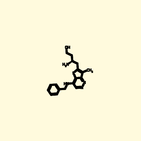 Cc1c(C[C@@H](N)CCO)sc2c(NCc3ccccc3)cnnc12